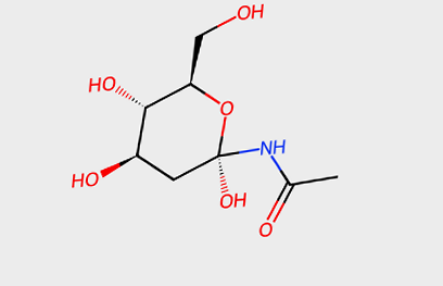 CC(=O)N[C@@]1(O)C[C@@H](O)[C@H](O)[C@@H](CO)O1